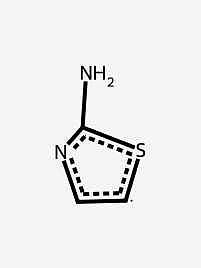 Nc1nc[c]s1